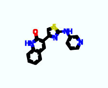 O=c1[nH]c2ccccc2cc1-c1csc(Nc2cccnc2)n1